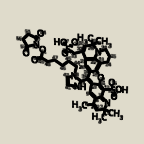 CC1=CC(C)(C)N=c2c1cc1c(c2S(=O)(=O)O)Oc2c(cc3c4c2CCCN4C(C)(C)C=C3CS(=O)(=O)O)C=1C1NC=CN1CCCCCC(=O)ON1C(=O)CCC1=O